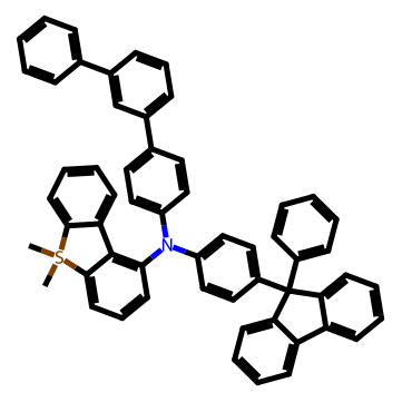 CS1(C)c2ccccc2-c2c(N(c3ccc(-c4cccc(-c5ccccc5)c4)cc3)c3ccc(C4(c5ccccc5)c5ccccc5-c5ccccc54)cc3)cccc21